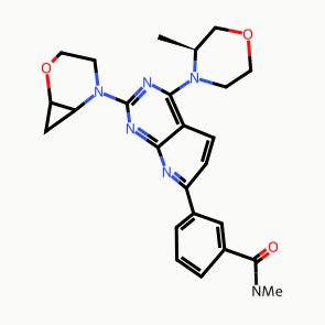 CNC(=O)c1cccc(-c2ccc3c(N4CCOC[C@@H]4C)nc(N4CCOC5CC54)nc3n2)c1